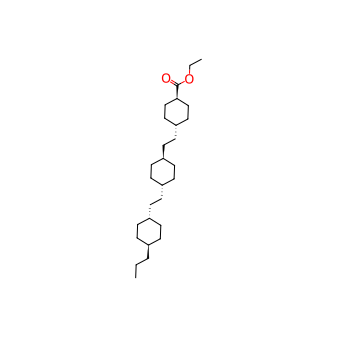 CCC[C@H]1CC[C@H](CC[C@H]2CC[C@H](CC[C@H]3CC[C@H](C(=O)OCC)CC3)CC2)CC1